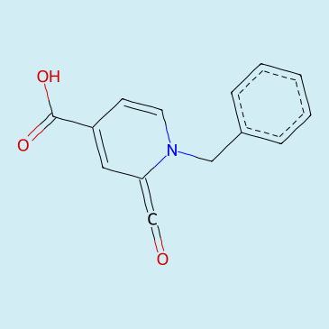 O=C=C1C=C(C(=O)O)C=CN1Cc1ccccc1